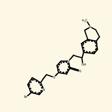 CN1CCc2ccc(C(O)Cn3ccc(OCc4ccc(Br)cn4)cc3=O)cc2C1